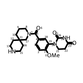 COc1ccc(C(=O)N2CCCC3(CCNCC3)C2)cc1N1CCC(=O)NC1=O